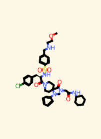 COCCNCc1ccc(S(=O)(=O)N[C@H](Cc2ccc(Cl)cc2)C(=O)N2CCC3(CC2)C(=O)N(CC(=O)NC2CCCCC2)CN3c2ccccc2)cc1